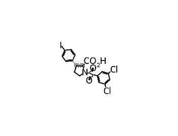 O=C(O)[C@@H]1[C@@H](c2ccc(I)cc2)CCN1S(=O)(=O)c1cc(Cl)cc(Cl)c1